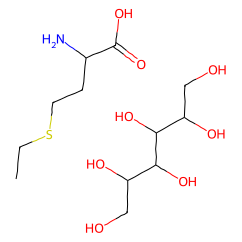 CCSCCC(N)C(=O)O.OCC(O)C(O)C(O)C(O)CO